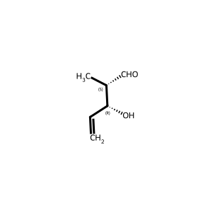 C=C[C@@H](O)[C@H](C)C=O